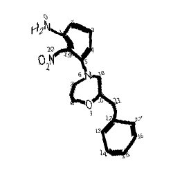 Nc1cccc(N2CCOC(Cc3ccccc3)C2)c1[N+](=O)[O-]